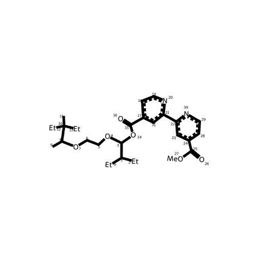 CCC(CC)C(OCCOC(C)C(C)(CC)CC)OC(=O)c1ccnc(-c2cc(C(=O)OC)ccn2)c1